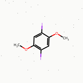 COc1cc(I)c(OC)cc1I